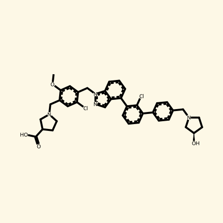 COc1cc(Cn2ncc3c(-c4cccc(-c5ccc(CN6CC[C@@H](O)C6)cc5)c4Cl)cccc32)c(Cl)cc1CN1CCC(C(=O)O)C1